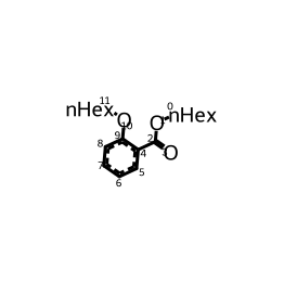 CCCCCCOC(=O)c1ccccc1OCCCCCC